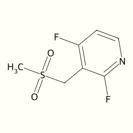 CS(=O)(=O)Cc1c(F)ccnc1F